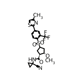 CO[C@H]1CC(S(=O)(=O)c2ccc(-c3nc(C)cs3)cc2C(F)(F)F)C[C@@H]1C(=O)NC1(C#N)CC1